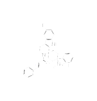 CN(C)[C@]1(c2ccccc2)CC[C@]2(CC1)c1[nH]c3ccc(F)cc3c1CCN2C(=O)/C=C/c1ccccc1